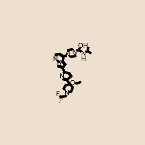 CCOC1(c2ccc(-c3cc4c(N5CCN(C(O)NC(C)C)CC5)ccnn4c3)nc2)CCN(C[C@H](C)F)CC1